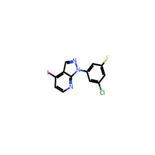 Fc1cc(Cl)cc(-n2ncc3c(I)ccnc32)c1